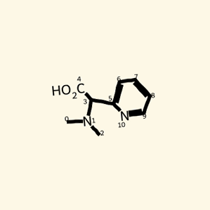 CN(C)C(C(=O)O)c1ccccn1